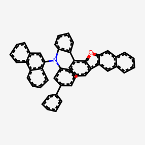 c1ccc(-c2cccc(N(c3ccccc3-c3cccc4c3oc3cc5ccccc5cc34)c3cc4ccccc4c4ccccc34)c2)cc1